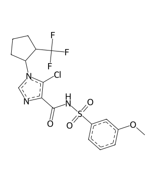 COc1cccc(S(=O)(=O)NC(=O)c2ncn(C3CCCC3C(F)(F)F)c2Cl)c1